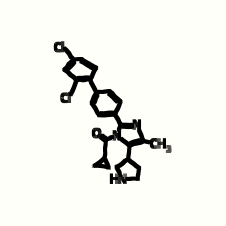 Cc1nc(-c2ccc(-c3ccc(Cl)cc3Cl)cc2)n(C(=O)C2CC2)c1C1CCNC1